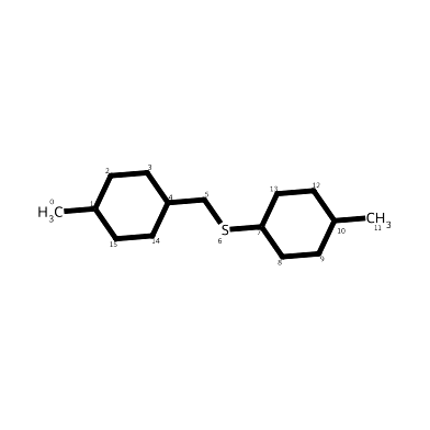 CC1CCC(CSC2CCC(C)CC2)CC1